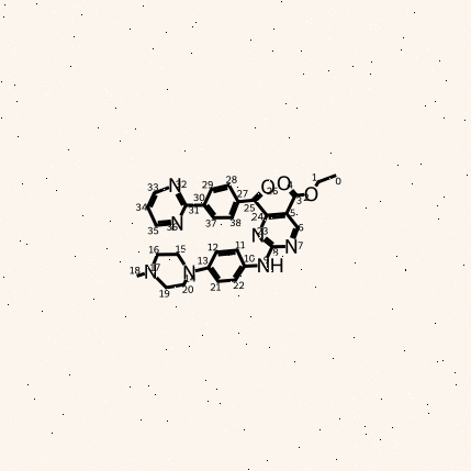 CCOC(=O)c1cnc(Nc2ccc(N3CCN(C)CC3)cc2)nc1C(=O)c1ccc(-c2ncccn2)cc1